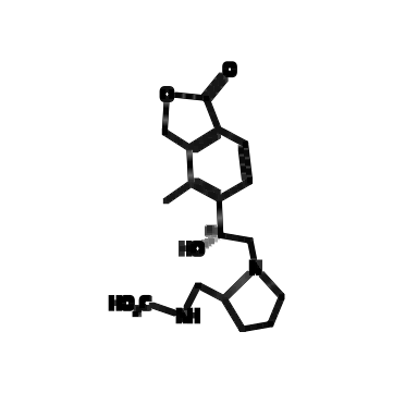 Cc1c([C@@H](O)CN2CCCC2CNC(=O)O)ccc2c1COC2=O